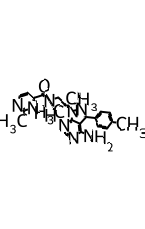 Cc1ccc(-c2nn(C(C)(C)CNC(=O)c3ccnc(C)n3)c3ncnc(N)c23)cc1